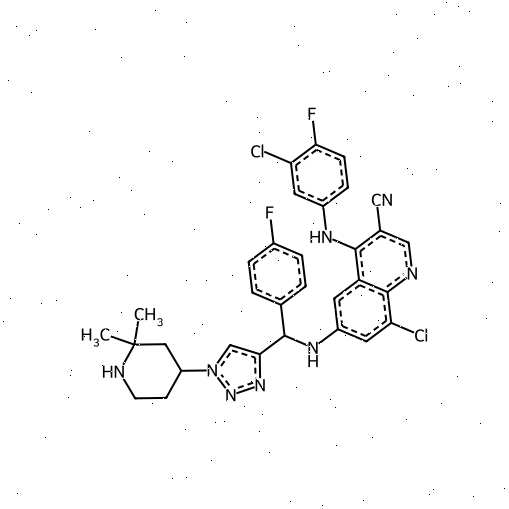 CC1(C)CC(n2cc(C(Nc3cc(Cl)c4ncc(C#N)c(Nc5ccc(F)c(Cl)c5)c4c3)c3ccc(F)cc3)nn2)CCN1